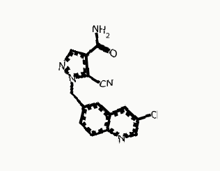 N#Cc1c(C(N)=O)cnn1Cc1ccc2ncc(Cl)cc2c1